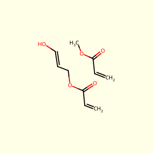 C=CC(=O)OC.C=CC(=O)OCC=CO